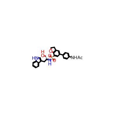 CC(=O)Nc1ccc(-c2cc3c(c(S(=O)(=O)N[C@@H](CO)Cc4c[nH]c5ccccc45)c2)OCC3)cc1